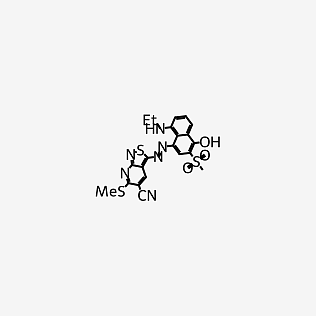 CCNc1cccc2c(O)c(S(C)(=O)=O)cc(/N=N/c3snc4nc(SC)c(C#N)cc34)c12